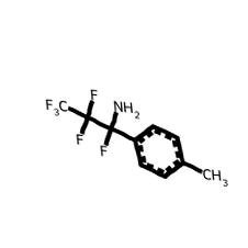 Cc1ccc(C(N)(F)C(F)(F)C(F)(F)F)cc1